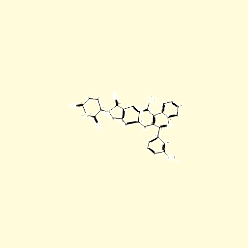 Cc1cccc(-c2nc3ccccc3c(C(N)=O)c2Cc2ccc3c(c2)CN(C2CCC(=O)NC2=O)C3=O)c1